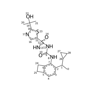 CC(c1ccc2c(c1NC(=O)NS(=N)(=O)c1cnc(C(C)(C)O)s1)CC2)C1CC1